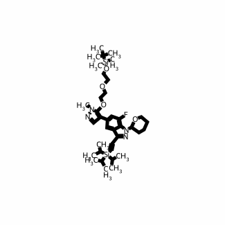 CC(C)[Si](C#Cc1nn(C2CCCCO2)c2c(F)cc(-c3cnn(C)c3OCCOCCO[Si](C)(C)C(C)(C)C)cc12)(C(C)C)C(C)C